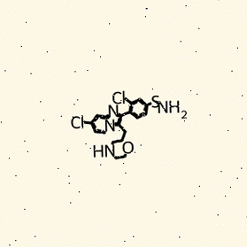 NSc1ccc(-c2nc3cc(Cl)ccn3c2CC2CNCCO2)c(Cl)c1